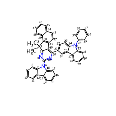 CC1(C)c2nc(-n3c4ccccc4c4ccccc43)nc(-c3ccc4c(c3)c3ccccc3n4-c3ccccc3)c2-c2ccc3ccccc3c21